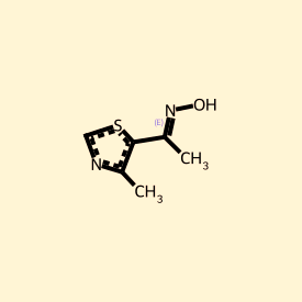 C/C(=N\O)c1scnc1C